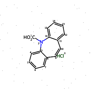 Cl.O=C(O)N1c2ccccc2C=Cc2ccccc21